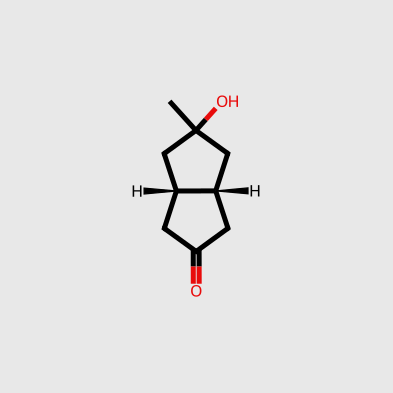 CC1(O)C[C@H]2CC(=O)C[C@H]2C1